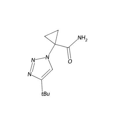 CC(C)(C)c1cn(C2(C(N)=O)CC2)nn1